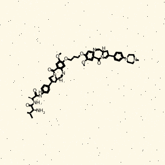 COc1cc2c(cc1OCCCOc1cc3c(cc1OC)C(=O)N1C=C(c4ccc(N5CCN(C)CC5)cc4)C[C@@H]1C=N3)N=C[C@H]1CC(c3ccc(NC(=O)[C@H](C)NC(=O)[C@@H](N)C(C)C)cc3)=CN1C2=O